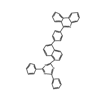 c1ccc(-c2nc(-c3ccccc3)nc(-c3cccc4c(-c5ccc(-c6nc7ccccc7c7ccccc67)cc5)cccc34)n2)cc1